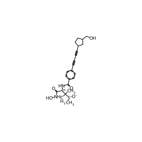 C[S+]([O-])C(C)(C)[C@H](NC(=O)c1ccc(C#CC#CC2CCC(CO)C2)cc1)C(=O)NO